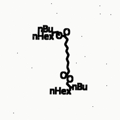 CCCCCCC(CCCC)COC(=O)CCCCCCCCCC(=O)OCC(CCCC)CCCCCC